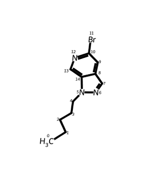 CCCCCn1ncc2cc(Br)ncc21